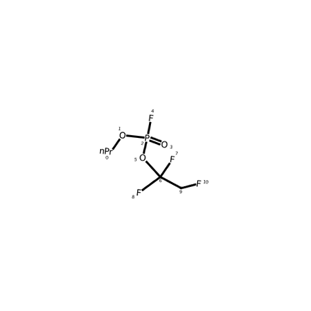 CCCOP(=O)(F)OC(F)(F)CF